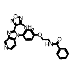 Nc1nonc1-c1nc2cnccc2n1-c1ccc(OCCNC(=O)c2ccccc2)cc1